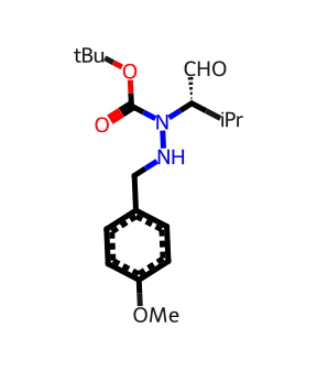 COc1ccc(CNN(C(=O)OC(C)(C)C)[C@H](C=O)C(C)C)cc1